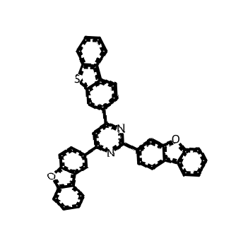 c1ccc2c(c1)oc1cc(-c3nc(-c4ccc5c(c4)sc4ccccc45)cc(-c4ccc5oc6ccccc6c5c4)n3)ccc12